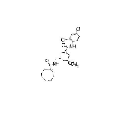 O=C(NCC1CCCN(C(=O)Nc2ccc(Cl)cc2Cl)C1)[C]1CCCCCCC1.[CH2].[CH2]